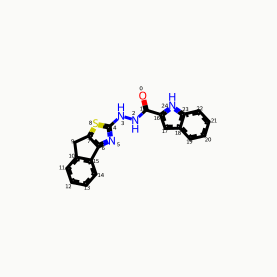 O=C(NNc1nc2c(s1)Cc1ccccc1-2)c1cc2ccccc2[nH]1